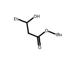 CCC(O)CC(=O)OC(C)(C)C